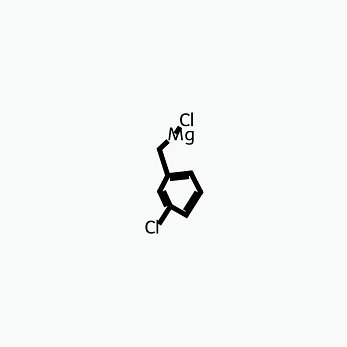 [Cl][Mg][CH2]c1cccc(Cl)c1